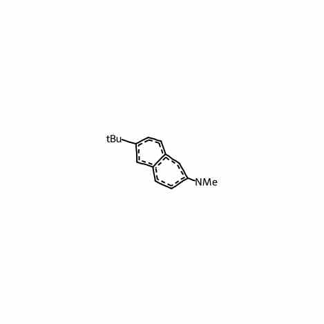 CNc1ccc2cc(C(C)(C)C)ccc2c1